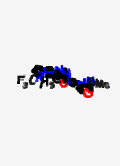 COC1COCCC1NC1CCN(C(=O)c2ncnc(N3CCN(c4cccc(C(F)(F)F)n4)CC3)c2C)CC1